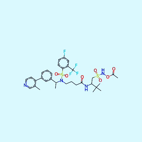 CC(=O)ONS(=O)(=O)CC(NC(=O)CCCN(C(C)c1cccc(-c2ccncc2C)c1)S(=O)(=O)c1ccc(F)cc1C(F)(F)F)C(C)(C)C